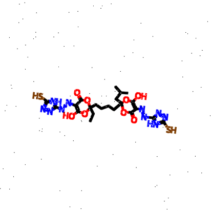 CCC1(CCCCC2(CC(C)C)OC(=O)C(N=Nc3nnc(S)[nH]3)=C(O)O2)OC(=O)C(N=Nc2nnc(S)[nH]2)=C(O)O1